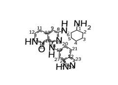 NC1CCCC[C@@H]1Nc1cc2cc[nH]c(=O)c2c(Nc2ccc3cn[nH]c3c2)n1